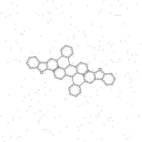 c1ccc(-c2c3ccccc3c(-c3ccccc3-c3ccc4oc5ccccc5c4c3)c3ccccc23)c(-c2ccc3oc4ccccc4c3c2)c1